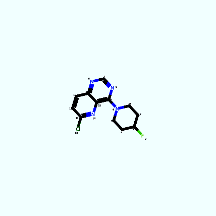 FC1CCN(c2ncnc3ccc(Cl)nc23)CC1